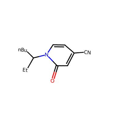 CCCCC(CC)n1ccc(C#N)cc1=O